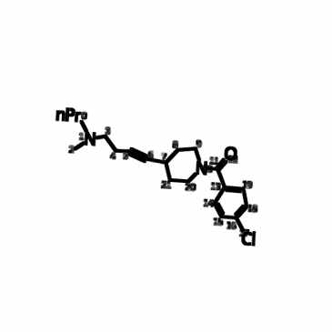 CCCN(C)CCC#CC1CCN(C(=O)c2ccc(Cl)cc2)CC1